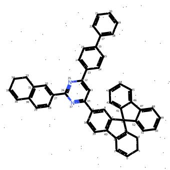 C1=CC2=C(CC1)C1(c3cc(-c4cc(-c5ccc(-c6ccccc6)cc5)nc(-c5ccc6c(c5)CCC=C6)n4)ccc32)c2ccccc2-c2ccccc21